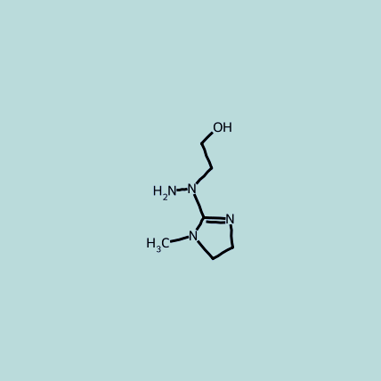 CN1CCN=C1N(N)CCO